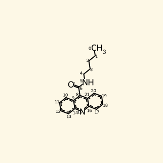 CCCCCNC(=O)c1c2ccccc2nc2ccccc12